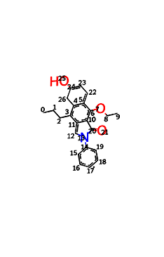 CCCc1c2c(c(OCC)c3c1=CN(c1cc[c]cc1)C3=O)=CC=C(O)C2